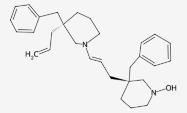 C=CC[C@]1(Cc2ccccc2)CCCN(/C=C/C[C@]2(Cc3ccccc3)CCCN(O)C2)C1